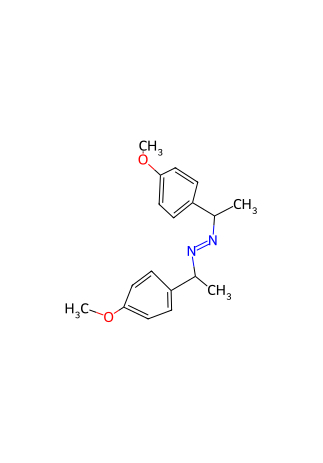 COc1ccc(C(C)N=NC(C)c2ccc(OC)cc2)cc1